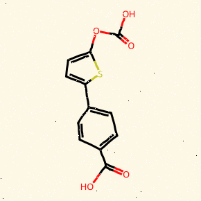 O=C(O)Oc1ccc(-c2ccc(C(=O)O)cc2)s1